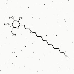 CCCCCCCCCCCCOCCO[C@@H]1O[C@H](CO)[C@@H](O)[C@H](O)[C@H]1O